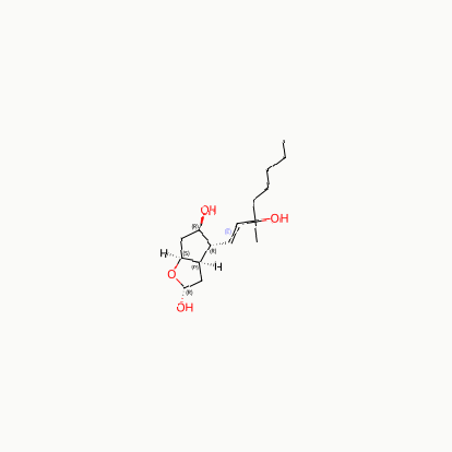 CCCCCC(C)(O)/C=C/[C@@H]1[C@H]2C[C@H](O)O[C@H]2C[C@H]1O